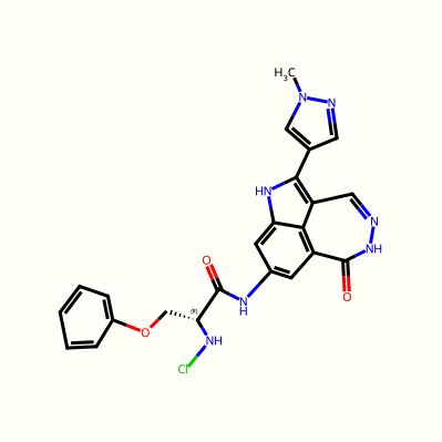 Cn1cc(-c2[nH]c3cc(NC(=O)[C@@H](COc4ccccc4)NCl)cc4c3c2C=NNC4=O)cn1